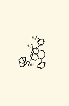 Cc1cccc(N(C(N)=O)C2CCCC(c3ccccc3)N(CC(=O)N(O)C34CC5CC(CC(C5)C3)C4)C2=O)c1